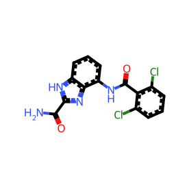 NC(=O)c1nc2c(NC(=O)c3c(Cl)cccc3Cl)cccc2[nH]1